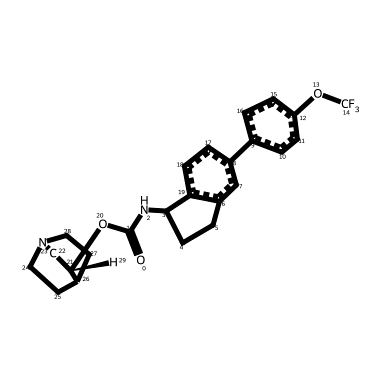 O=C(NC1CCc2cc(-c3ccc(OC(F)(F)F)cc3)ccc21)O[C@H]1CN2CCC1CC2